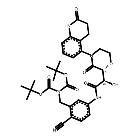 CC(C)(C)OC(=O)N(Cc1cc(NC(=O)[C@H](O)[C@H]2OCCN(c3cccc4c3CCC(=O)N4)C2=O)ccc1C#N)C(=O)OC(C)(C)C